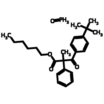 CCCCCCOC(=O)C(C)(C(=O)c1ccc(C(C)(C)C)cc1)c1ccccc1.O=[PH3]